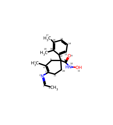 C/C=N\C1=C(C)CC(C(=O)NO)(c2cccc(C)c2C)CC1